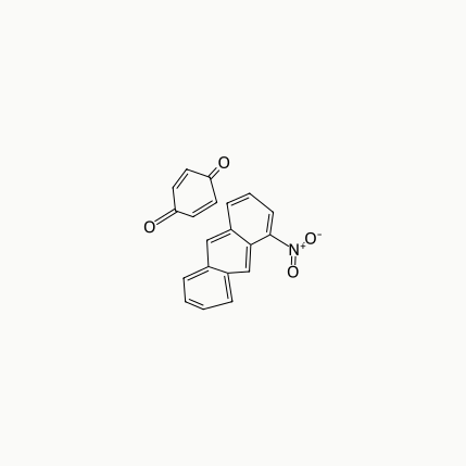 O=C1C=CC(=O)C=C1.O=[N+]([O-])c1cccc2cc3ccccc3cc12